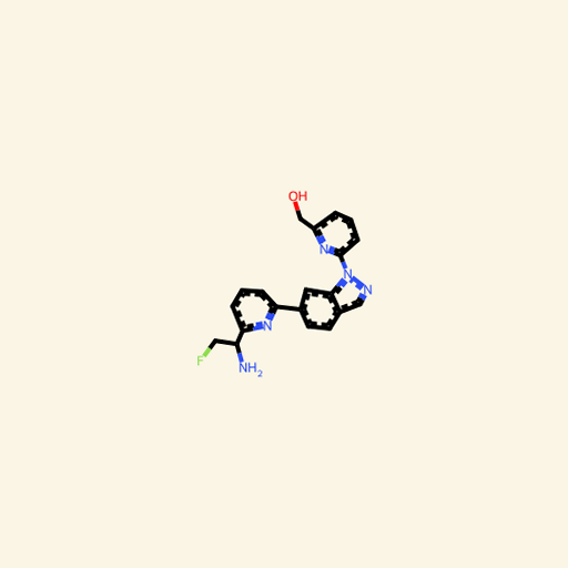 NC(CF)c1cccc(-c2ccc3cnn(-c4cccc(CO)n4)c3c2)n1